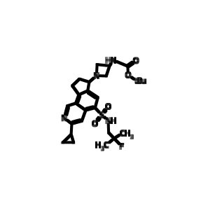 CC(C)(F)CNS(=O)(=O)c1cc2c(c3cnc(C4CC4)cc13)CCC2N1CC(NC(=O)OC(C)(C)C)C1